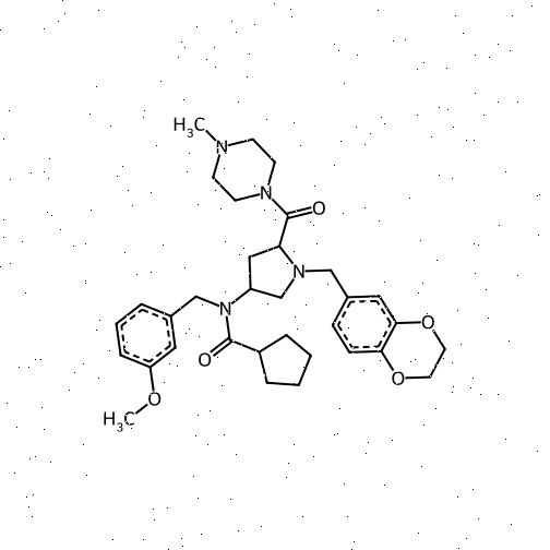 COc1cccc(CN(C(=O)C2CCCC2)C2CC(C(=O)N3CCN(C)CC3)N(Cc3ccc4c(c3)OCCO4)C2)c1